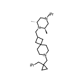 CC(C)CC1(CN2CCC3(CC2)CC(CN2[C@H](C)CN(C(C)C)C[C@H]2C)C3)CC1